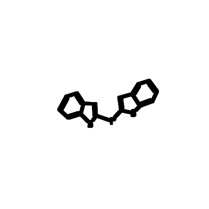 c1ccc2sc([I+]c3cc4ccccc4s3)cc2c1